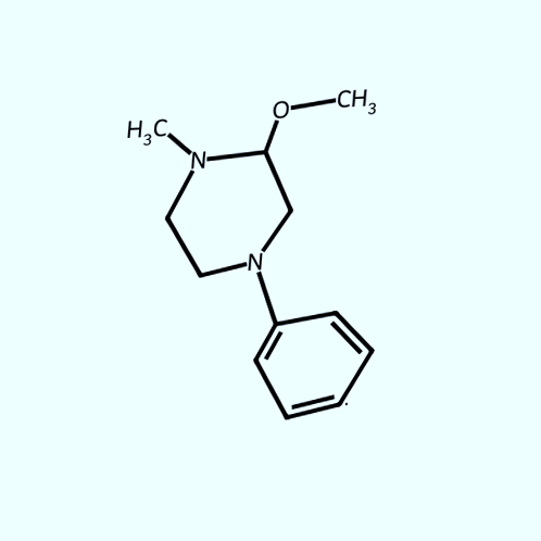 COC1CN(c2cc[c]cc2)CCN1C